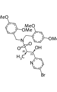 COc1ccc(CN(Cc2ccc(OC)cc2OC)S(=O)(=O)[C@H](C)[C@@H](O)c2ccc(Br)cn2)c(OC)c1